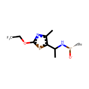 Cc1nc(OCC(F)(F)F)sc1C(C)N[S@@+]([O-])C(C)(C)C